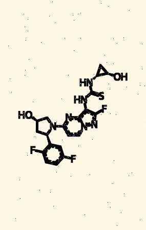 O[C@@H]1C[C@H](c2cc(F)ccc2F)N(c2ccn3nc(F)c(NC(=S)N[C@@H]4C[C@H]4O)c3n2)C1